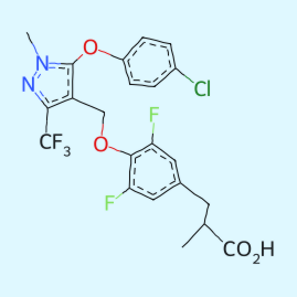 CC(Cc1cc(F)c(OCc2c(C(F)(F)F)nn(C)c2Oc2ccc(Cl)cc2)c(F)c1)C(=O)O